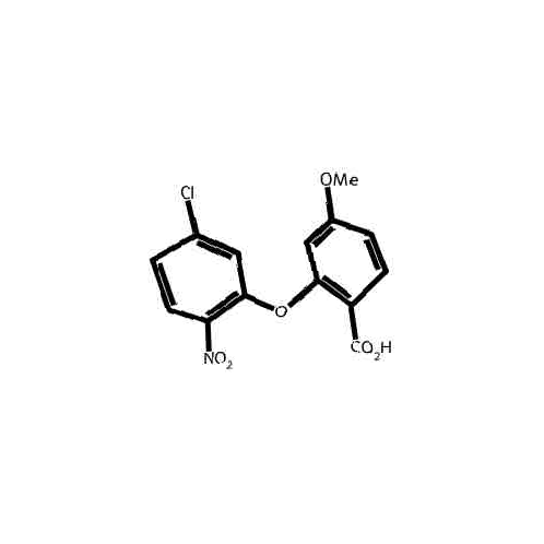 COc1ccc(C(=O)O)c(Oc2cc(Cl)ccc2[N+](=O)[O-])c1